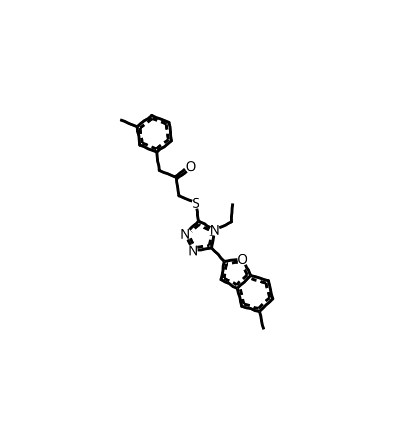 CCn1c(SCC(=O)Cc2cccc(C)c2)nnc1-c1cc2cc(C)ccc2o1